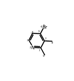 Cc1nc[c]c(Br)c1C